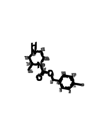 Cc1ccc(COC(=O)N2CCNCC2C)cc1